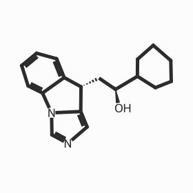 O[C@@H](C[C@H]1c2ccccc2-n2cncc21)C1CCCCC1